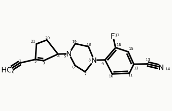 C#CC1=CC(N2CCN(c3ccc(C#N)cc3F)CC2)CC1